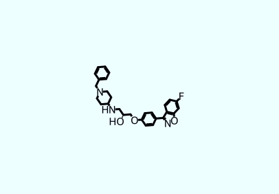 O[C@H](CNC1CCN(Cc2ccccc2)CC1)COc1ccc(-c2noc3cc(F)ccc23)cc1